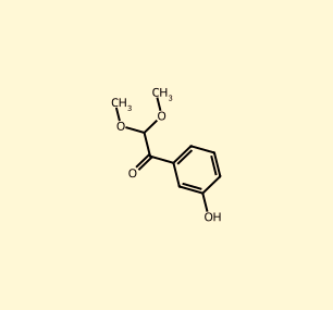 COC(OC)C(=O)c1cccc(O)c1